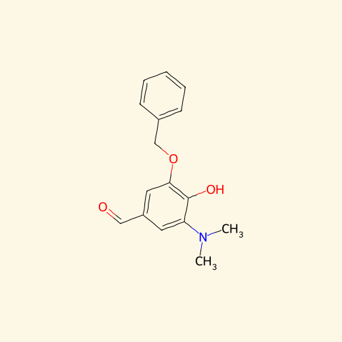 CN(C)c1cc(C=O)cc(OCc2ccccc2)c1O